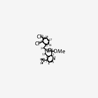 COC(=O)c1nccc(N(C)C)c1CNCc1cccc(Cl)c1Cl